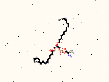 CCCC/C=C\C/C=C\CCCCCCCC(=O)O[C@H](COC(=O)CCCC/C=C\C/C=C\C/C=C\CCCCC)COP(=O)(O)OC[C@H](N)C(=O)O